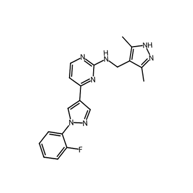 Cc1n[nH]c(C)c1CNc1nccc(-c2cnn(-c3ccccc3F)c2)n1